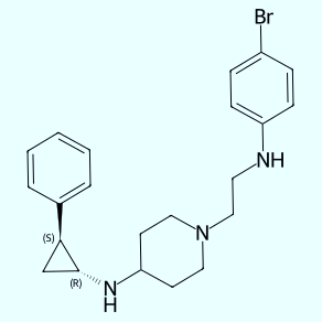 Brc1ccc(NCCN2CCC(N[C@@H]3C[C@H]3c3ccccc3)CC2)cc1